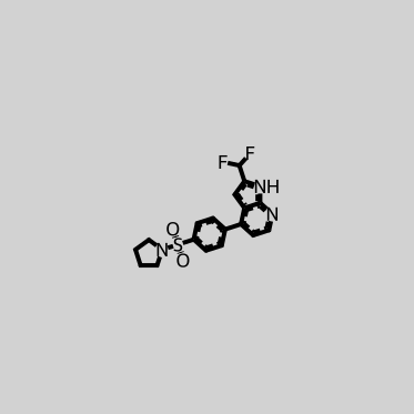 O=S(=O)(c1ccc(-c2ccnc3[nH]c(C(F)F)cc23)cc1)N1CCCC1